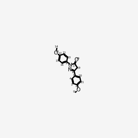 COc1ccc(C2=NN(c3ccc(OC)cc3)C(=O)C2)cc1